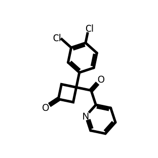 O=C1CC(C(=O)c2ccccn2)(c2ccc(Cl)c(Cl)c2)C1